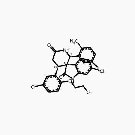 Cc1ccc(F)cc1[C@@H]1NC(=O)C[C@H](c2cc(Cl)ccc2OCCO)[C@@]12C(=O)Nc1cc(Cl)ccc12